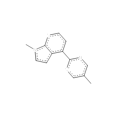 Cc1cnc(-c2ccnc3c2ccn3C)nc1